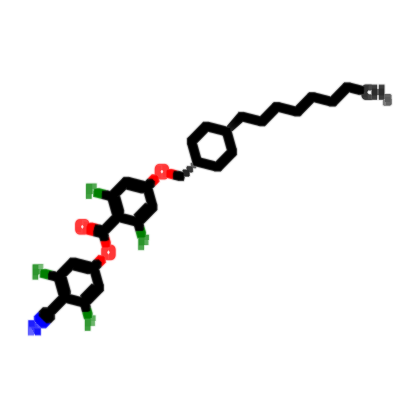 CCCCCCCC[C@H]1CC[C@H](COc2cc(F)c(C(=O)Oc3cc(F)c(C#N)c(F)c3)c(F)c2)CC1